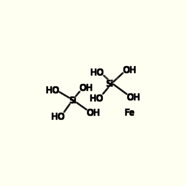 O[Si](O)(O)O.O[Si](O)(O)O.[Fe]